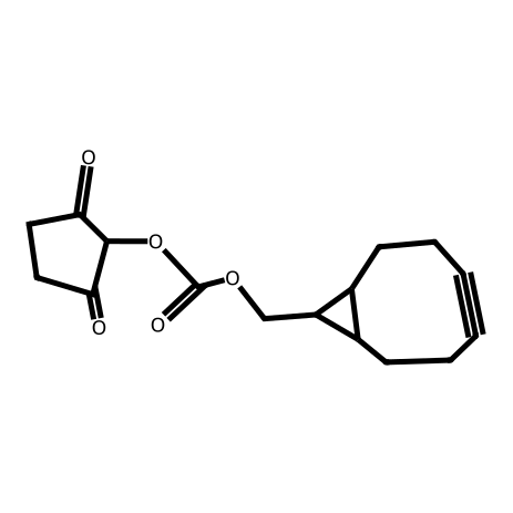 O=C(OCC1C2CCC#CCCC21)OC1C(=O)CCC1=O